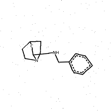 c1ccc(CNC2CC3CCN2CC3)cc1